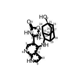 O=c1[nH]c(-c2cnc3[nH]ccc3c2N[C@H]2C3CC4CC2C[C@@](O)(C4)C3)no1